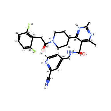 Cc1nc(C)c(C(=O)NCc2ccnc(C#N)c2)c(C2CCN(C(=O)Cc3c(F)cccc3F)CC2)n1